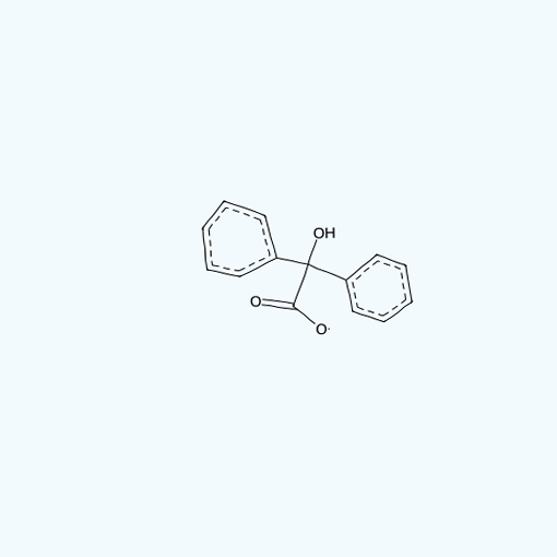 [O]C(=O)C(O)(c1ccccc1)c1ccccc1